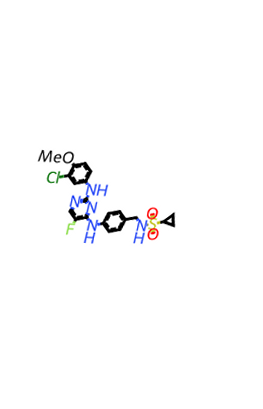 COc1ccc(Nc2ncc(F)c(Nc3ccc(CNS(=O)(=O)C4CC4)cc3)n2)cc1Cl